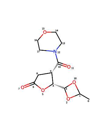 CC1OC([C@@H]2OC(=O)C[C@@H]2C(=O)N2CCOCC2)O1